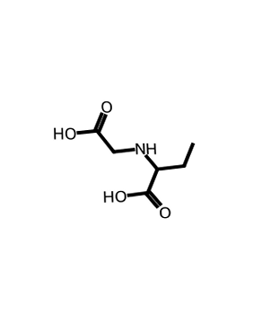 CCC(NCC(=O)O)C(=O)O